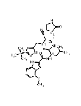 COc1cccc2[nH]c(C(=O)N[C@@H](CC(C)C)C(=O)N[C@@H](C[C@@H]3CCNC3=O)C(C#N)NCc3cc(C(C)(C)C)n[nH]3)cc12